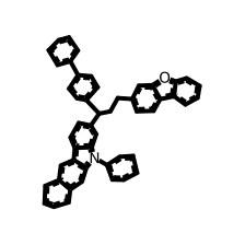 c1ccc(-c2ccc(C(CCc3ccc4c(c3)oc3ccccc34)c3ccc4c5cc6ccccc6cc5n(-c5ccccc5)c4c3)cc2)cc1